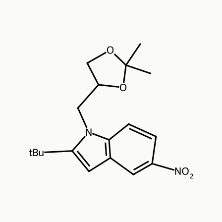 CC1(C)OCC(Cn2c(C(C)(C)C)cc3cc([N+](=O)[O-])ccc32)O1